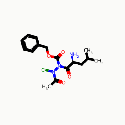 CC(=O)N(Cl)N(C(=O)OCc1ccccc1)C(=O)[C@@H](N)CC(C)C